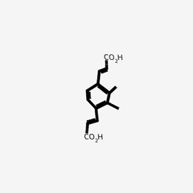 Cc1c(C=CC(=O)O)ccc(C=CC(=O)O)c1C